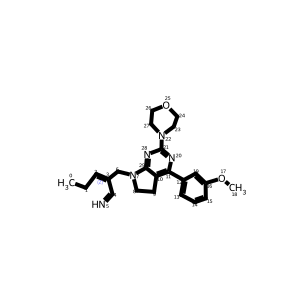 CC/C=C(\C=N)CN1CCc2c(-c3cccc(OC)c3)nc(N3CCOCC3)nc21